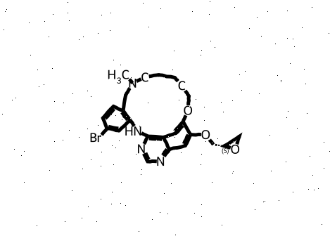 CN1CCCCCOc2cc3c(ncnc3cc2OC[C@@H]2CO2)Nc2cc(Br)ccc2C1